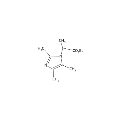 CCOC(=O)C(C)n1c(C)nc(C)c1C